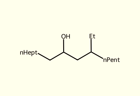 CCC[CH]CC(CC)CC(O)CCCCCCCC